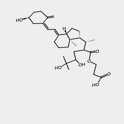 C=C1CC[C@H](O)C/C1=C/C=C1\CCC[C@]2(C)[C@@H]([C@H](C)C(CC(O)C(C)(C)O)C(=O)OCCC(=O)O)CC[C@@H]12